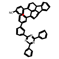 N#Cc1ccc(C2=CCC3c4ccccc4-c4ccc(-c5cccc(-c6cccc(-c7nc(-c8ccccc8)nc(-c8ccccc8)n7)c6)c5)c2c43)cc1